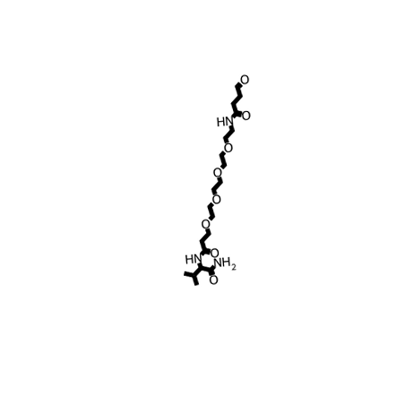 CC(C)C(NC(=O)CCOCCOCCOCCOCCNC(=O)CCC=O)C(N)=O